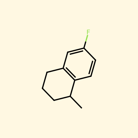 CC1CCCc2cc(F)ccc21